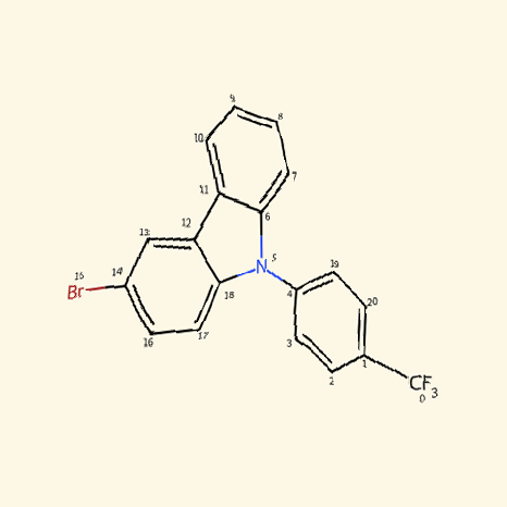 FC(F)(F)c1ccc(-n2c3ccccc3c3cc(Br)ccc32)cc1